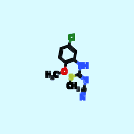 COc1ccc(Cl)cc1NC(=NC#N)SC